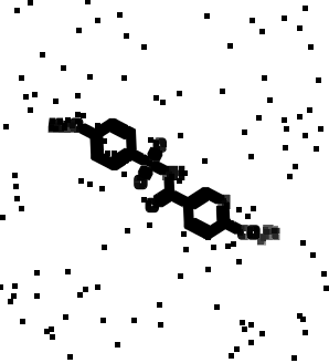 CCOC(=O)c1ccc(C(=O)NS(=O)(=O)c2ccc(OC)cc2)cn1